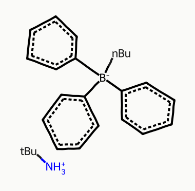 CC(C)(C)[NH3+].CCCC[B-](c1ccccc1)(c1ccccc1)c1ccccc1